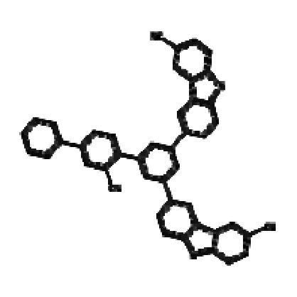 N#Cc1ccc2sc3ccc(-c4cc(-c5ccc6sc7ccc(C#N)cc7c6c5)cc(-c5ccc(-c6ccccc6)cc5C#N)c4)cc3c2c1